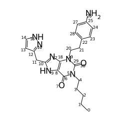 CCCCCn1c(=O)c2[nH]c(Cc3cc[nH]n3)nc2n(CCc2ccc(N)cc2)c1=O